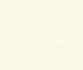 O=C(O)CN1CCCCC1Cc1ccc(OC(F)(F)F)cc1